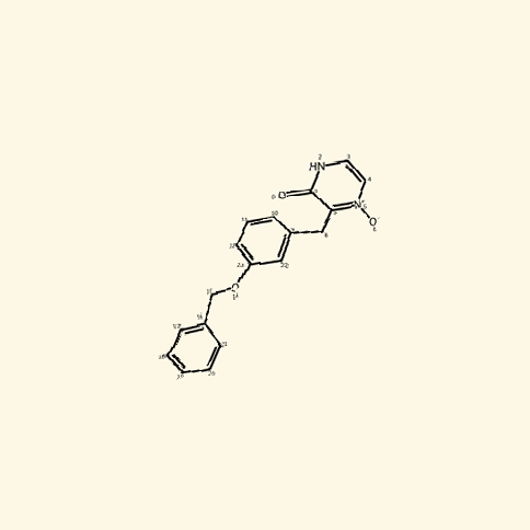 O=c1[nH]cc[n+]([O-])c1Cc1cccc(OCc2ccccc2)c1